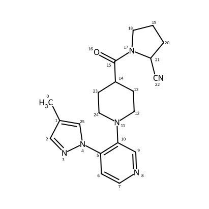 Cc1cnn(-c2ccncc2N2CCC(C(=O)N3CCCC3C#N)CC2)c1